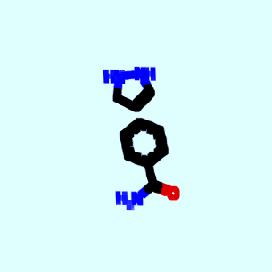 C1=CNNC1.NC(=O)c1ccccc1